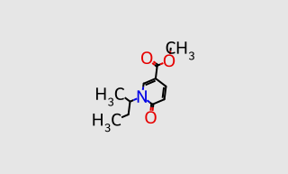 CCC(C)n1cc(C(=O)OC)ccc1=O